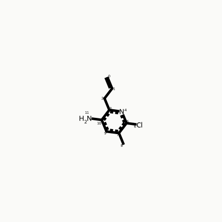 C=CCc1nc(Cl)c(C)cc1N